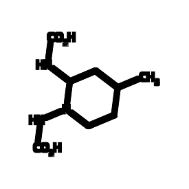 CC1CCN(NC(=O)O)C(NC(=O)O)C1